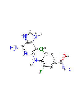 CN(c1cc2c(ncn2C)c(N)n1)c1c(F)cc(C(N)=O)cc1Cl